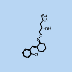 CC(C)(C)NC[C@H](O)CO/N=C1\CCCCC1=Cc1ccccc1Cl